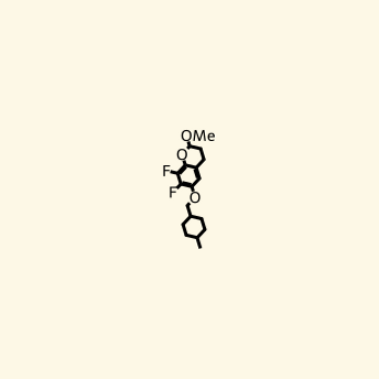 COC1CCc2cc(OCC3CCC(C)CC3)c(F)c(F)c2O1